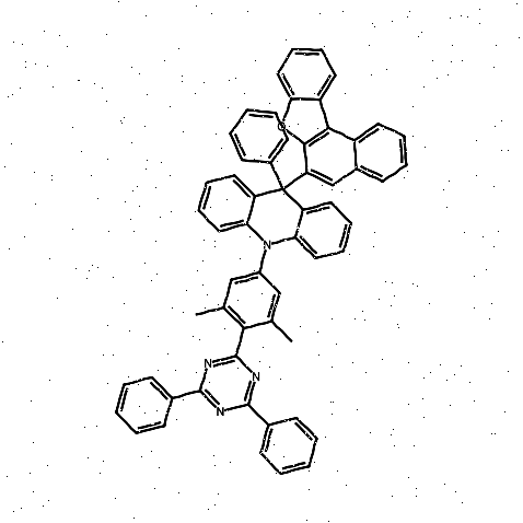 Cc1cc(N2c3ccccc3C(c3ccccc3)(c3cc4ccccc4c4c3oc3ccccc34)c3ccccc32)cc(C)c1-c1nc(-c2ccccc2)nc(-c2ccccc2)n1